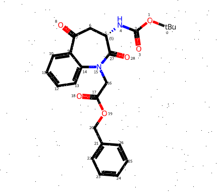 CC(C)(C)OC(=O)N[C@H]1CC(=O)c2ccccc2N(CC(=O)OCc2ccccc2)C1=O